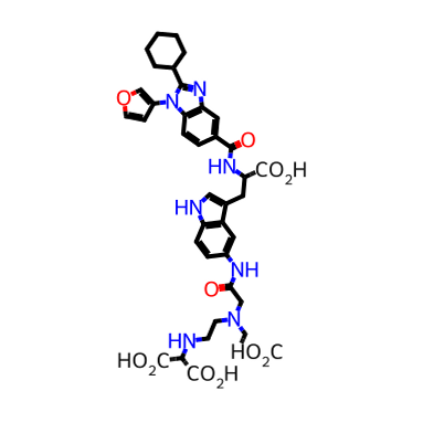 O=C(O)CN(CCNC(C(=O)O)C(=O)O)CC(=O)Nc1ccc2[nH]cc(CC(NC(=O)c3ccc4c(c3)nc(C3CCCCC3)n4-c3ccoc3)C(=O)O)c2c1